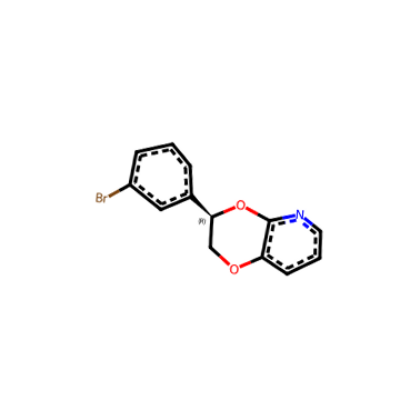 Brc1cccc([C@@H]2COc3cccnc3O2)c1